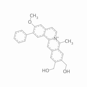 COc1cc2cc[n+]3c(C)c4cc(CO)c(CO)cc4cc3c2cc1-c1ccccc1